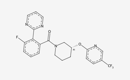 O=C(c1cccc(F)c1-c1ncccn1)N1CCC[C@@H](Oc2ccc(C(F)(F)F)cn2)C1